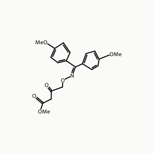 COC(=O)CC(=O)CON=C(c1ccc(OC)cc1)c1ccc(OC)cc1